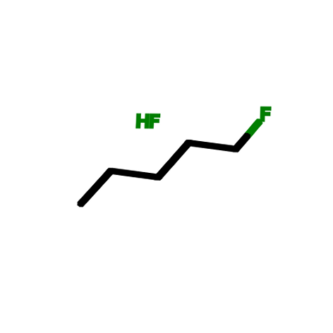 CCCCCF.F